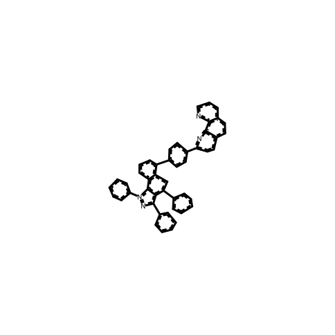 c1ccc(-c2cc3c(-c4ccc(-c5ccc6ccc7cccnc7c6n5)cc4)cccc3c3c2c(-c2ccccc2)nn3-c2ccccc2)cc1